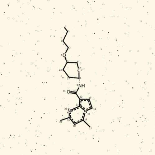 CCCCO[C@H]1CC[C@H](NC(=O)c2ccn3c(C)cc(C)nc23)CC1